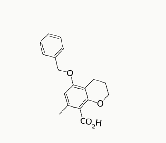 Cc1cc(OCc2ccccc2)c2c(c1C(=O)O)OCCC2